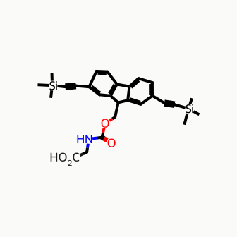 C[Si](C)(C)C#Cc1ccc2c(c1)C(COC(=O)NCC(=O)O)c1cc(C#C[Si](C)(C)C)ccc1-2